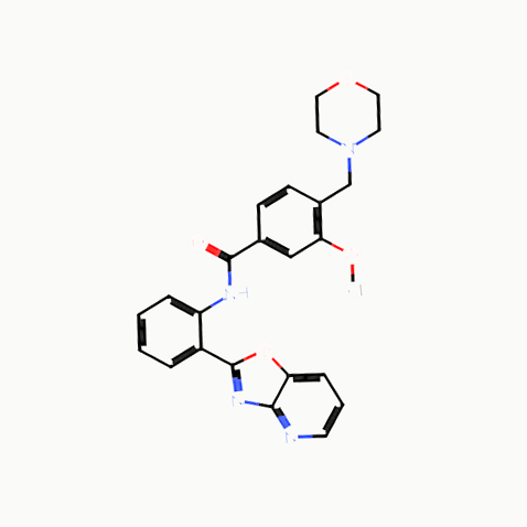 COc1cc(C(=O)Nc2ccccc2-c2nc3ncccc3o2)ccc1CN1CCOCC1